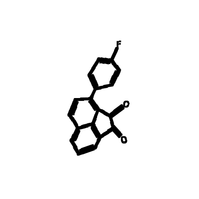 O=C1C(=O)c2c(-c3ccc(F)cc3)ccc3cccc1c23